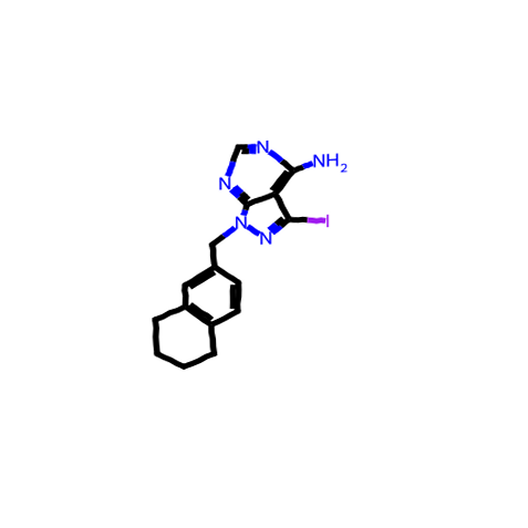 Nc1ncnc2c1c(I)nn2Cc1ccc2c(c1)CCCC2